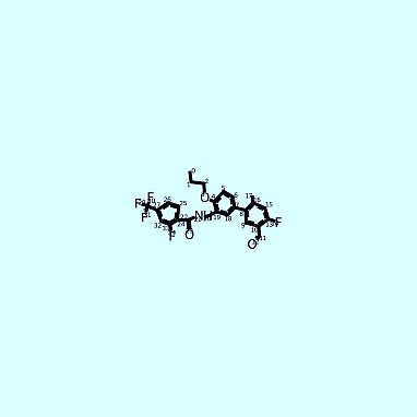 CCCOc1ccc(-c2cc(C=O)c(F)cc2C)cc1CNC(=O)c1ccc(C(F)(F)F)cc1F